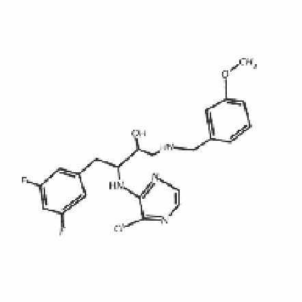 COc1cccc(CNCC(O)C(Cc2cc(F)cc(F)c2)Nc2nccnc2Cl)c1